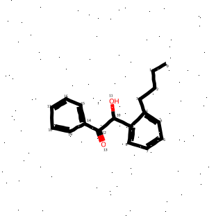 CCCCc1ccccc1C(O)C(=O)c1ccccc1